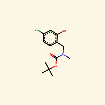 CN(Cc1ccc(Cl)cc1Br)C(=O)OC(C)(C)C